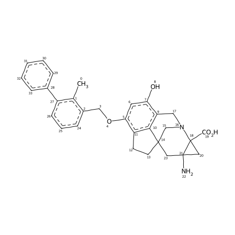 Cc1c(COc2cc(O)c3c4c2CCC42CN(C3)C3(C(=O)O)CC3(N)C2)cccc1-c1ccccc1